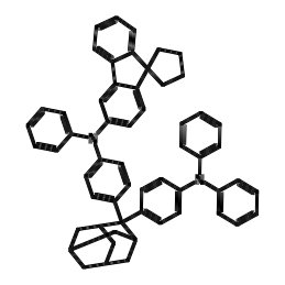 c1ccc(N(c2ccccc2)c2ccc(C3(c4ccc(N(c5ccccc5)c5ccc6c(c5)-c5ccccc5C65CCCC5)cc4)C4CC5CC(C4)CC3C5)cc2)cc1